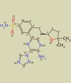 CC1(C)CC[C@H](CCc2ccc(S(N)(=O)=O)cc2-c2cnc(N)c(-n3cncn3)n2)O1